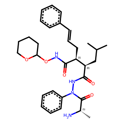 CC(C)C[C@@H](C(=O)NN(C(=O)[C@H](C)N)c1ccccc1)[C@H](CC=Cc1ccccc1)C(=O)NOC1CCCCO1